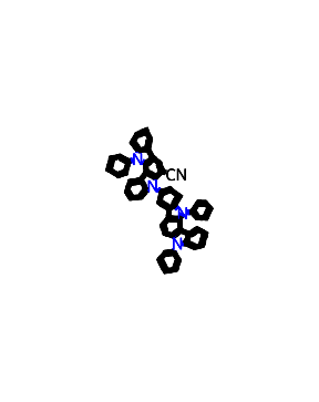 N#Cc1cc2c3ccccc3n(-c3ccccc3)c2c2c3ccccc3n(-c3ccc4c(c3)c3ccc5c(c6ccccc6n5-c5ccccc5)c3n4-c3ccccc3)c12